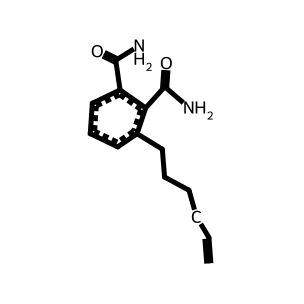 C=CCCCCc1cccc(C(N)=O)c1C(N)=O